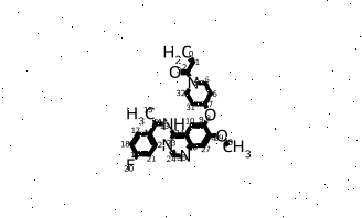 C=CC(=O)N1CCC(Oc2cc3c(N[C@H](C)c4ccc(F)cc4)ncnc3cc2OC)CC1